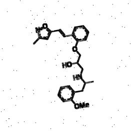 COc1ccccc1CC(C)NCC(O)COc1ccccc1C=Cc1cc(C)no1